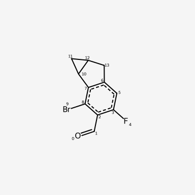 O=Cc1c(F)cc2c(c1Br)C1CC1C2